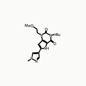 CCCCn1c(=O)c2[nH]c(-c3cnn(C)c3)cc2n(CCOC)c1=O